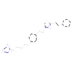 C(=Cc1nc(COc2ccc(CCCCCn3cncn3)cc2)co1)c1ccccc1